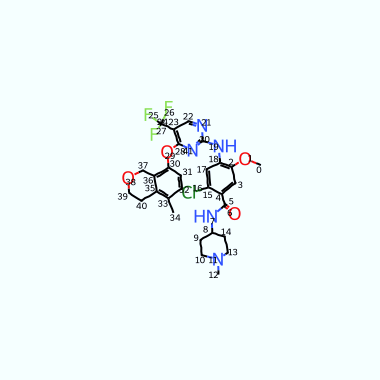 COc1cc(C(=O)NC2CCN(C)CC2)c(Cl)cc1Nc1ncc(C(F)(F)F)c(Oc2ccc(C)c3c2COCC3)n1